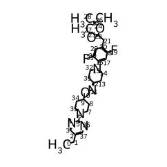 CCc1cnc(N2CCC(ON=C3CCN(c4cc(F)c(CC(=O)OC(C)(C)C)cc4F)CC3)CC2)nc1